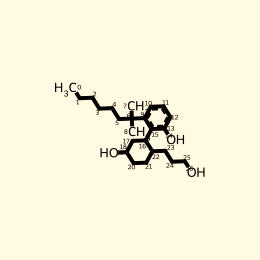 CCCCCCC(C)(C)c1cccc(O)c1C1CC(O)CCC1CCCO